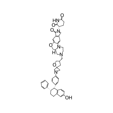 O=C1CC[C@H](N2Cc3cc4c(cc3C2=O)OC[C@@H]2CN(C[C@@H]3COC5(C3)CN(c3ccc([C@@H]6c7ccc(O)cc7CC[C@@H]6c6ccccc6)cc3)C5)CCN42)C(=O)N1